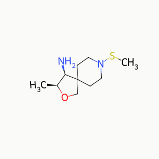 CSN1CCC2(CC1)CO[C@@H](C)[C@H]2N